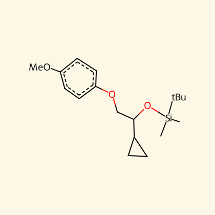 COc1ccc(OCC(O[Si](C)(C)C(C)(C)C)C2CC2)cc1